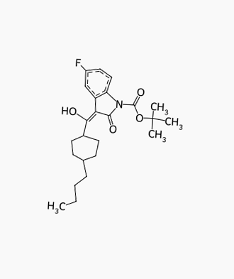 CCCCC1CCC(C(O)=C2C(=O)N(C(=O)OC(C)(C)C)c3ccc(F)cc32)CC1